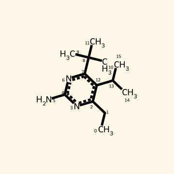 CCc1nc(N)nc(C(C)(C)C)c1C(C)C